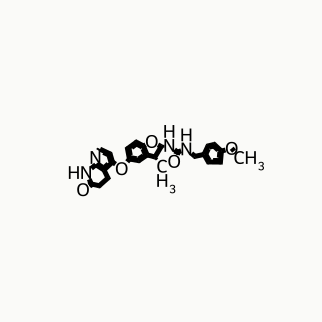 COc1ccc(CNC(=O)N[C@@H]2Oc3ccc(Oc4ccnc5c4CCC(=O)N5)cc3[C@@H]2C)cc1